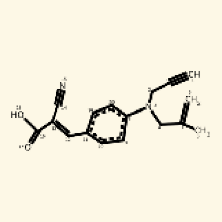 C#CCN(CC(=C)C)c1ccc(/C=C(\C#N)C(=O)O)cc1